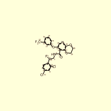 O=C(NC[C@H](F)c1ccc(Cl)cc1Cl)c1c(Oc2cccc(C(F)(F)F)c2)cnc2c1OCCO2